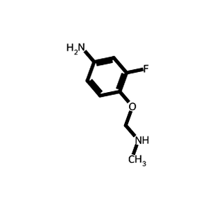 CNCOc1ccc(N)cc1F